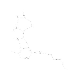 NCCCC#Cc1ccc(F)c2c1CN(C1CCC(=O)NC1=O)C2=O